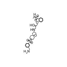 CNS(=O)(=O)c1ccccc1OC[C@@H](O)CNC1COC2(CCN(S(=O)(=O)c3cccc(CN)c3)CC2)C1